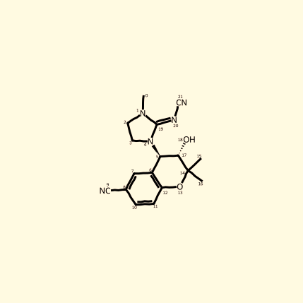 CN1CCN([C@@H]2c3cc(C#N)ccc3OC(C)(C)[C@H]2O)C1=NC#N